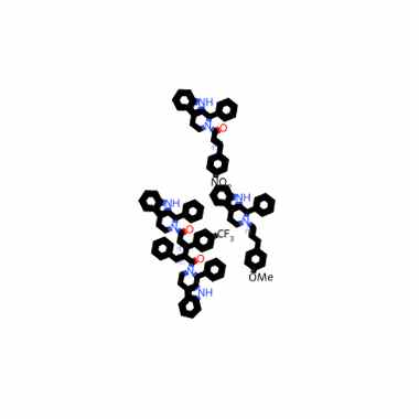 COc1ccc(C/C=C/N2CCc3c([nH]c4ccccc34)C2c2ccccc2)cc1.O=C(/C=C(/C(=C\c1ccccc1)C(=O)N1CCc2c([nH]c3ccccc23)C1c1ccccc1)c1ccc(C(F)(F)F)cc1)N1CCc2c([nH]c3ccccc23)C1c1ccccc1.O=C(/C=C/c1ccc([N+](=O)[O-])cc1)N1CCc2c([nH]c3ccccc23)C1c1ccccc1